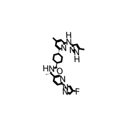 Cc1cc(Nc2cc(C)[nH]n2)nc([C@H]2CC[C@H](C(=O)N[C@@H](C)c3ccc(-n4cc(F)cn4)nc3)CC2)c1